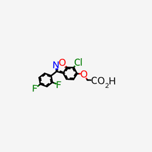 O=C(O)COc1ccc2c(-c3ccc(F)cc3F)noc2c1Cl